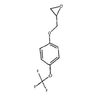 FC(F)(F)Oc1ccc(OCC2CO2)cc1